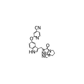 N#Cc1ccnc(Oc2ccc3[nH]cc(C[C@H](N)C(=O)N4CCC[C@H]4C#N)c3c2)c1